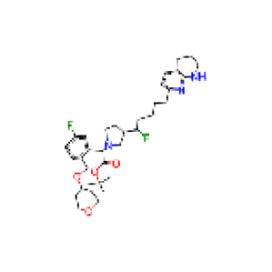 CC(C)(C)OC(=O)C(c1cc(F)ccc1COC1CCOCC1)N1CC[C@@H](C(F)CCCCc2ccc3c(n2)NCCC3)C1